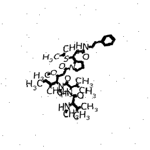 CCC(C)C(C(CC(=O)N1CCCC1C(CC(=O)NCCc1ccccc1)SC(C)C)OC)N(C)C(=O)C(NC(=O)C(NC)C(C)C)C(C)C